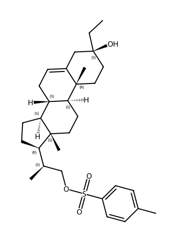 CC[C@]1(O)CC[C@@]2(C)C(=CC[C@H]3[C@@H]4CC[C@H]([C@H](C)COS(=O)(=O)c5ccc(C)cc5)[C@@]4(C)CC[C@@H]32)C1